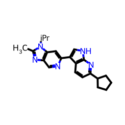 Cc1nc2cnc(-c3c[nH]c4nc(C5CCCC5)ccc34)cc2n1C(C)C